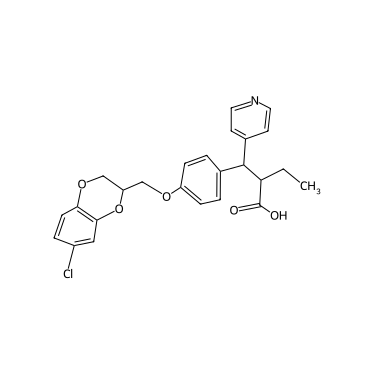 CCC(C(=O)O)C(c1ccncc1)c1ccc(OCC2COc3ccc(Cl)cc3O2)cc1